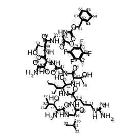 CC[C@H](C)[C@H](NC(=O)[C@@H](CCCNC(=N)N)NC(=O)[C@H](CC(C)C)NC(=O)[C@@H](N)[C@H](O)C(C)C)C(O)N[C@H](C(=O)NCC(=O)N[C@H](C(=O)N[C@@H](CO)C(=O)NC[C@H](NC(=O)OCc1ccccc1)C(=O)Oc1c(F)c(F)c(F)c(F)c1F)[C@H](O)C(N)=O)[C@H](C)O